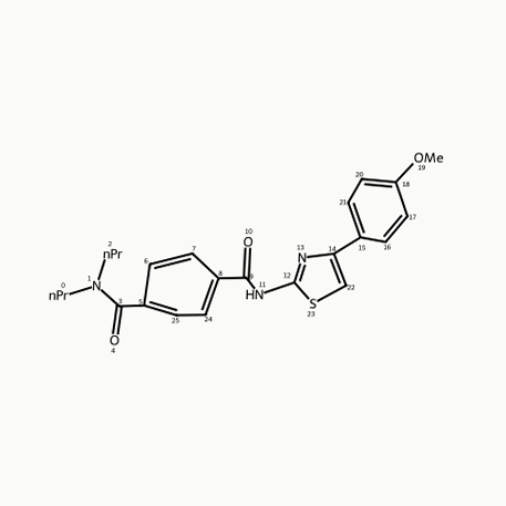 CCCN(CCC)C(=O)c1ccc(C(=O)Nc2nc(-c3ccc(OC)cc3)cs2)cc1